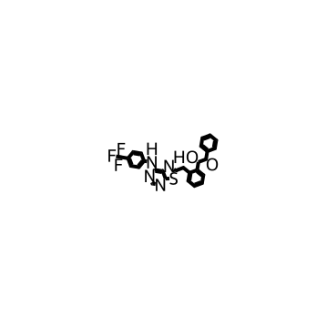 O=C(c1ccccc1)C(O)c1ccccc1Cc1nc2c(Nc3ccc(C(F)(F)F)cc3)ncnc2s1